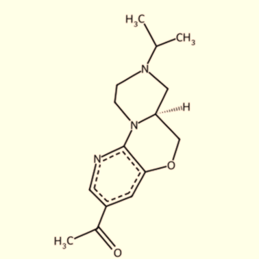 CC(=O)c1cnc2c(c1)OC[C@@H]1CN(C(C)C)CCN21